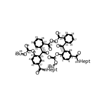 CCCCCCCC(=O)c1ccc(OC(=O)OC(C)CC)c(C(=O)c2ccccc2C(=O)OOC(=O)c2ccccc2C(=O)c2cc(C(=O)CCCCCCC)ccc2OC(=O)OC(C)CC)c1